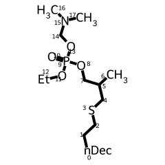 CCCCCCCCCCCCSCC(C)COP(=O)(OCC)OCN(C)C